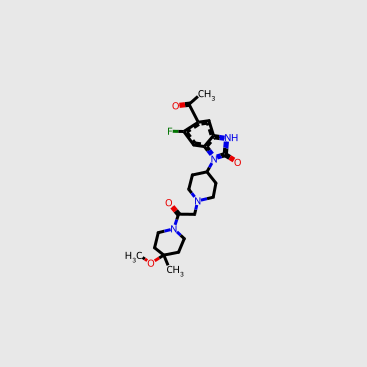 COC1(C)CCN(C(=O)CN2CCC(n3c(=O)[nH]c4cc(C(C)=O)c(F)cc43)CC2)CC1